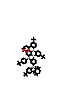 CC(C)(C)c1ccc(N2c3cc(N4c5ccc(C(C)(C)C)cc5C5(C)C(C)(C)CCC(C)(C)C45C)ccc3B3c4cc(C(C)(C)C)ccc4N(c4ccc(C(C)(C)C)cc4-c4ccccc4)c4cc(C(C)(C)C)cc2c43)cc1